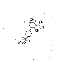 COS(=O)(=O)C1CCN(C2=C(C#N)C(=C(C#N)C#N)CC(C)(C)C2)CC1